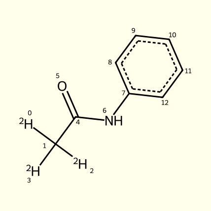 [2H]C([2H])([2H])C(=O)Nc1ccccc1